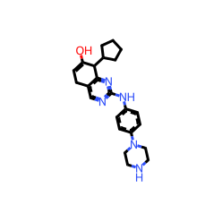 OC1=CCc2cnc(Nc3ccc(N4CCNCC4)cc3)nc2C1C1CCCC1